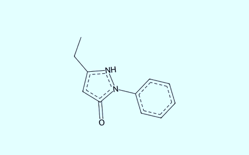 CCc1cc(=O)n(-c2ccccc2)[nH]1